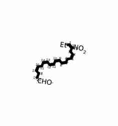 CC/C=C(\C/C=C\C\C=C/C=C\C=C/C=C\C/C=C\CC[C]=O)[N+](=O)[O-]